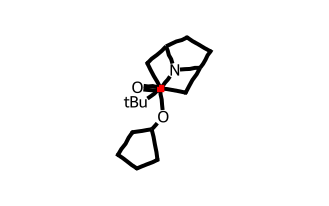 CC(C)(C)C1CC2CCC(C1)N2C(=O)OC1CCCC1